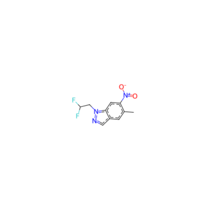 Cc1cc2cnn(CC(F)F)c2cc1[N+](=O)[O-]